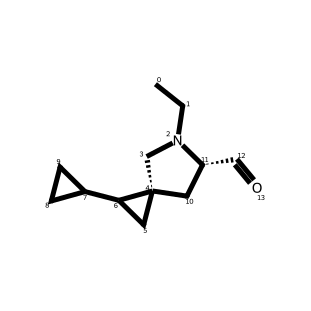 CCN1C[C@@]2(CC2C2CC2)C[C@H]1C=O